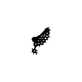 Fc1cccc(C2C3c4cc5c6c7c(cc8c9c%10c%11c%12c(cc%13cc%14c%15c(c%16c4c6c4c%16c6c%15c%13c%12c6c%10c4c79)C23C%14)CC%11C8)C5)c1